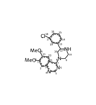 COc1cc2ncnc(N3CCNC(c4cccc(Cl)c4)C3)c2cc1OC